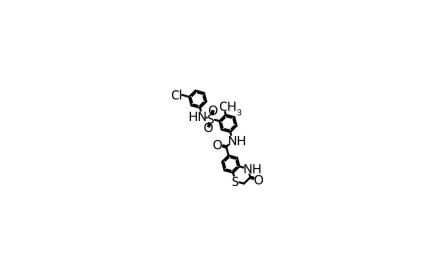 Cc1ccc(NC(=O)c2ccc3c(c2)NC(=O)CS3)cc1S(=O)(=O)Nc1cccc(Cl)c1